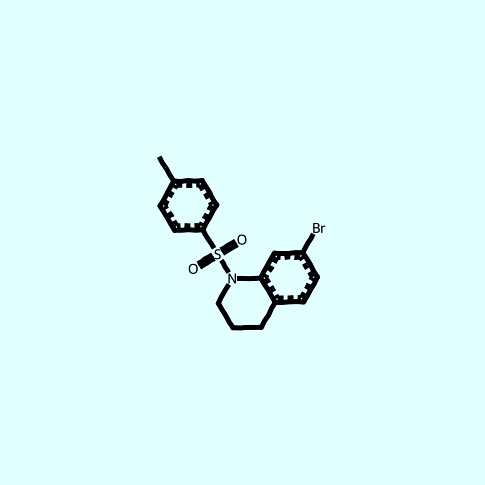 Cc1ccc(S(=O)(=O)N2CCCc3ccc(Br)cc32)cc1